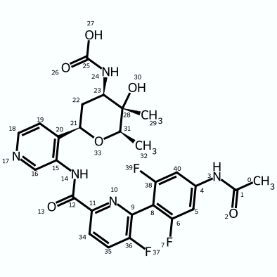 CC(=O)Nc1cc(F)c(-c2nc(C(=O)Nc3cnccc3[C@H]3C[C@@H](NC(=O)O)[C@](C)(O)[C@@H](C)O3)ccc2F)c(F)c1